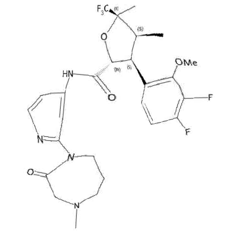 COc1c([C@H]2[C@H](C(=O)Nc3ccnc(N4CCCN(C)CC4=O)c3)O[C@@](C)(C(F)(F)F)[C@H]2C)ccc(F)c1F